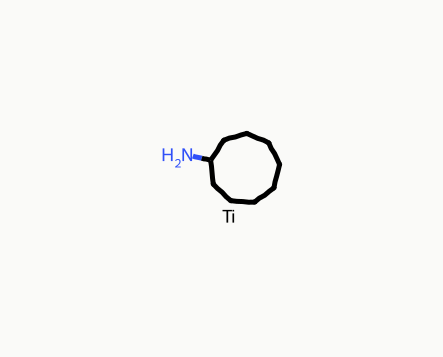 NC1CCCCCCCC1.[Ti]